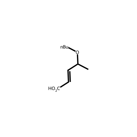 CCCCOC(C)C=CC(=O)O